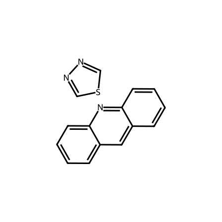 c1ccc2nc3ccccc3cc2c1.c1nncs1